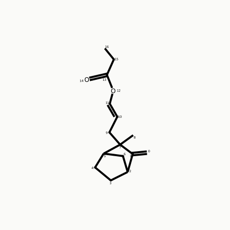 C=C1C2CCC(C2)C1(C)C/C=C/OC(=O)CC